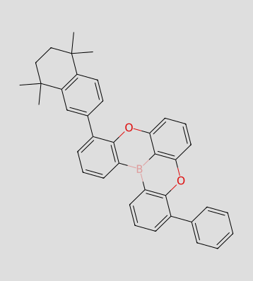 CC1(C)CCC(C)(C)c2cc(-c3cccc4c3Oc3cccc5c3B4c3cccc(-c4ccccc4)c3O5)ccc21